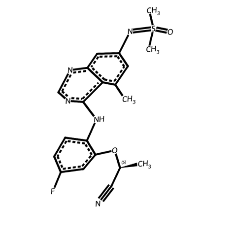 Cc1cc(N=S(C)(C)=O)cc2ncnc(Nc3ccc(F)cc3O[C@@H](C)C#N)c12